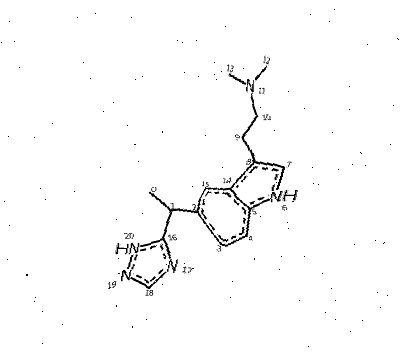 CC(c1ccc2[nH]cc(CCN(C)C)c2c1)c1ncn[nH]1